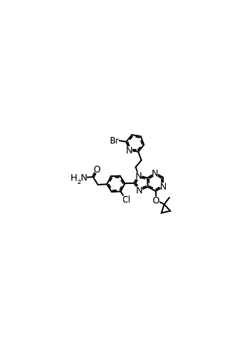 CC1(Oc2ncnc3c2nc(-c2ccc(CC(N)=O)cc2Cl)n3CCc2cccc(Br)n2)CC1